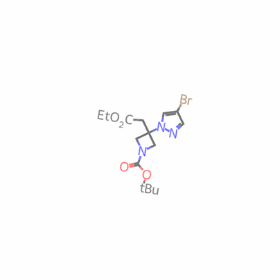 CCOC(=O)CC1(n2cc(Br)cn2)CN(C(=O)OC(C)(C)C)C1